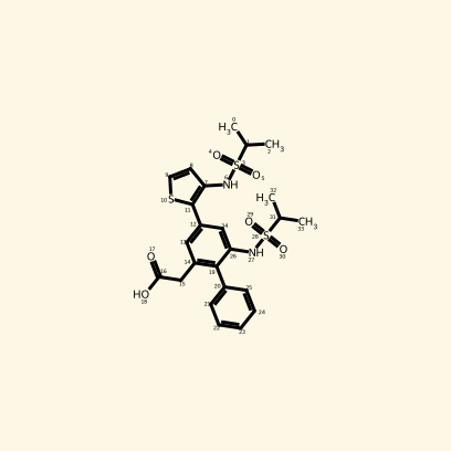 CC(C)S(=O)(=O)Nc1ccsc1-c1cc(CC(=O)O)c(-c2ccccc2)c(NS(=O)(=O)C(C)C)c1